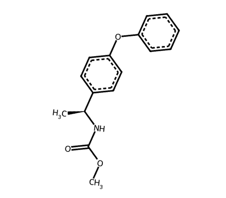 COC(=O)N[C@@H](C)c1ccc(Oc2ccccc2)cc1